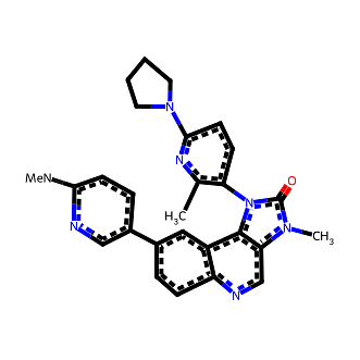 CNc1ccc(-c2ccc3ncc4c(c3c2)n(-c2ccc(N3CCCC3)nc2C)c(=O)n4C)cn1